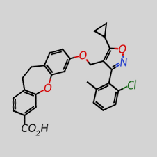 Cc1cccc(Cl)c1-c1noc(C2CC2)c1COc1ccc2c(c1)Oc1cc(C(=O)O)ccc1CC2